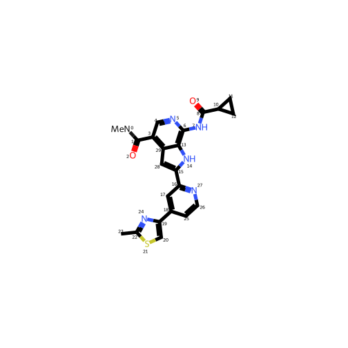 CNC(=O)c1cnc(NC(=O)C2CC2)c2[nH]c(-c3cc(-c4csc(C)n4)ccn3)cc12